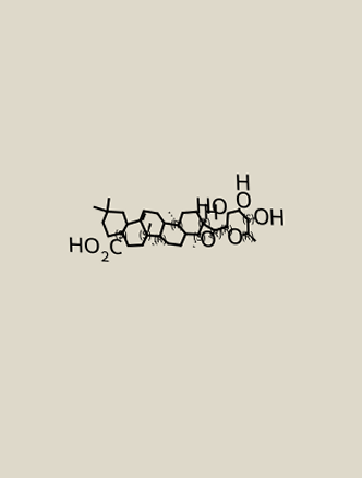 C[C@H]1O[C@@H]([C@@H]2O[C@@]3(C)C4CC[C@]5(C)C(CC=C6C7CC(C)(C)CC[C@]7(C(=O)O)CC[C@]65C)[C@@]4(C)CC[C@H]23)C(O)C(O)[C@@H]1O